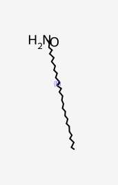 CCCCCCCCCCCCCCCCC/C=C/CCCCCCCCCC(N)=O